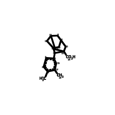 Cc1ccc(C2C3CC4CC(C3)CC2(C(=O)O)C4)cc1C